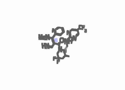 CN/C(=C(\C=N)C(=O)N1CC(F)(F)CC(C)[C@H]1CNc1ncc(C(F)(F)F)cn1)c1ccccn1